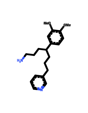 COc1ccc(C(CCCN)CCCc2cccnc2)cc1OC